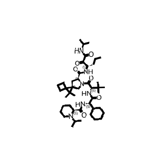 CCC[C@H](NC(=O)[C@@H]1C[C@@]2(CN1C(=O)[C@@H](NC(=O)[C@@H](NC(=O)[C@@H]1CCCCN1C(C)C)C1CCCCC1)C(C)(C)C)C(C)(C)C21CCC1)C(=O)C(=O)NC(C)C